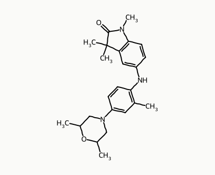 Cc1cc(N2CC(C)OC(C)C2)ccc1Nc1ccc2c(c1)C(C)(C)C(=O)N2C